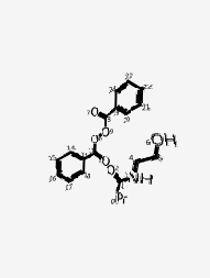 CC(C)C(=O)NCCO.O=C(OOC(=O)c1ccccc1)c1ccccc1